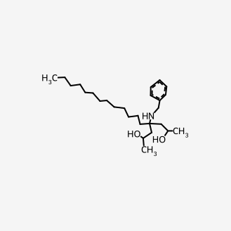 CCCCCCCCCCCCCC(CC(C)O)(CC(C)O)NCc1ccccc1